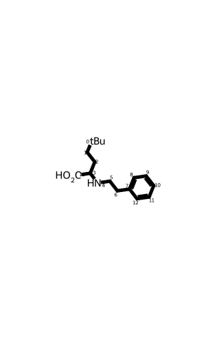 CC(C)(C)CCC(NCCc1ccccc1)C(=O)O